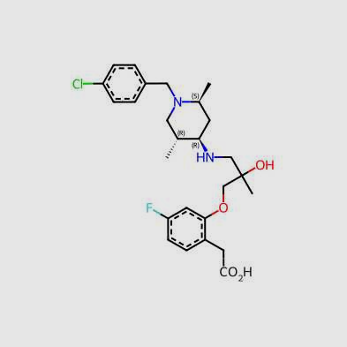 C[C@@H]1CN(Cc2ccc(Cl)cc2)[C@@H](C)C[C@H]1NCC(C)(O)COc1cc(F)ccc1CC(=O)O